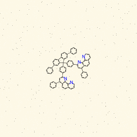 c1ccc(-c2ccc3c(c2)C(c2ccc(-c4cc(-c5ccccc5)c5ccc6cccnc6c5n4)cc2)(c2ccc(-c4cc(-c5ccccc5)c5ccc6cccnc6c5n4)cc2)c2cc(-c4ccccc4)ccc2-3)cc1